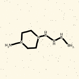 BBBBN1CCN(N)CC1